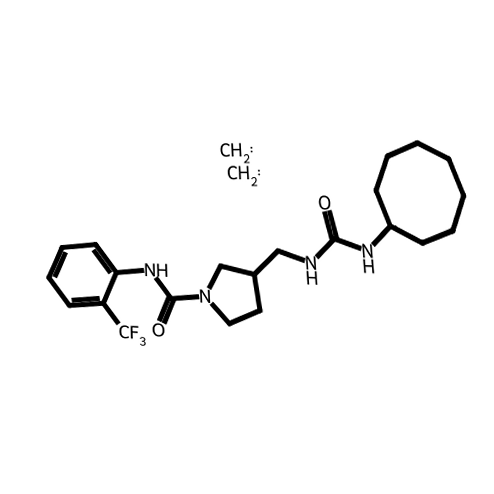 O=C(NCC1CCN(C(=O)Nc2ccccc2C(F)(F)F)C1)N[C]1CCCCCCC1.[CH2].[CH2]